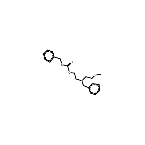 COCCN(CCOC(=O)OCc1ccccc1)Cc1ccccc1